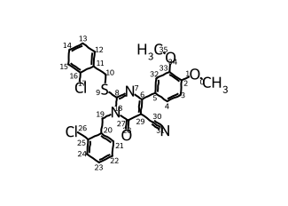 COc1ccc(-c2nc(SCc3ccccc3Cl)n(Cc3ccccc3Cl)c(=O)c2C#N)cc1OC